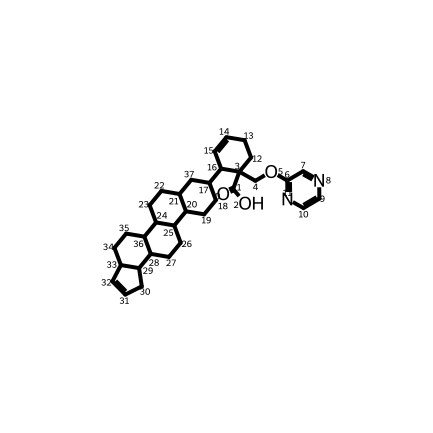 O=C(O)C1(COc2cnccn2)CCC=CC1C1CCC2C(CCC3C2CCC2C4CC=CC4CCC23)C1